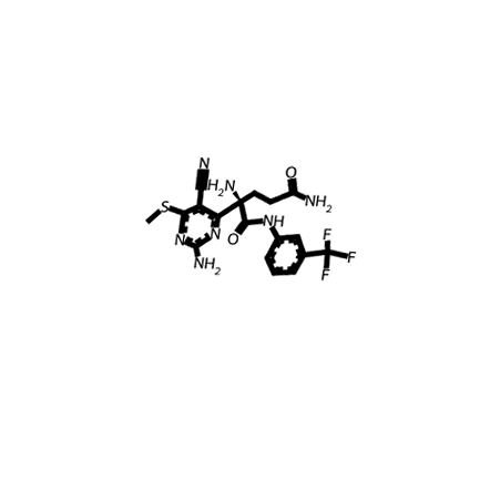 CSc1nc(N)nc([C@](N)(CCC(N)=O)C(=O)Nc2cccc(C(F)(F)F)c2)c1C#N